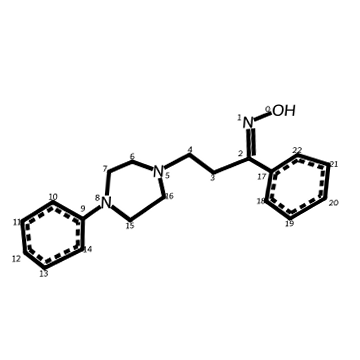 ON=C(CCN1CCN(c2ccccc2)CC1)c1ccccc1